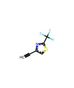 C#Cc1csc(C(F)(F)F)n1